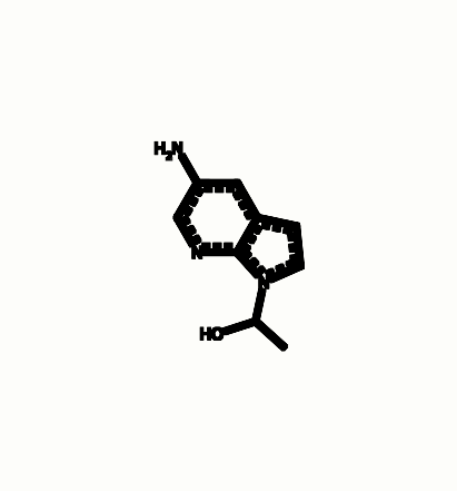 CC(O)n1ccc2cc(N)cnc21